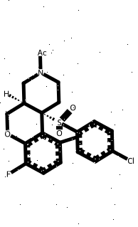 CC(=O)N1CC[C@@]2(S(=O)(=O)c3ccc(Cl)cc3)c3c(F)ccc(F)c3OC[C@H]2C1